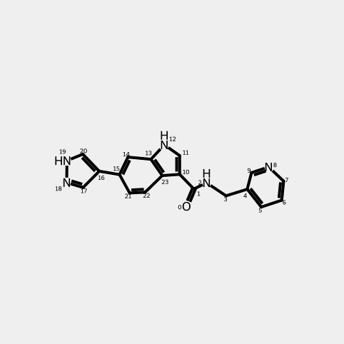 O=C(NCc1cccnc1)c1c[nH]c2cc(-c3cn[nH]c3)ccc12